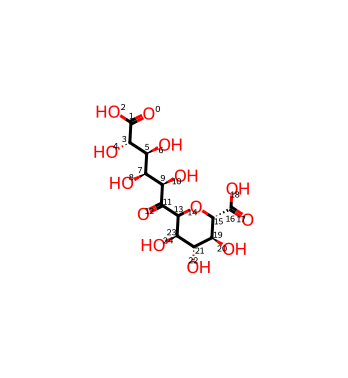 O=C(O)[C@@H](O)[C@@H](O)[C@H](O)[C@@H](O)C(=O)C1O[C@H](C(=O)O)[C@@H](O)[C@H](O)[C@H]1O